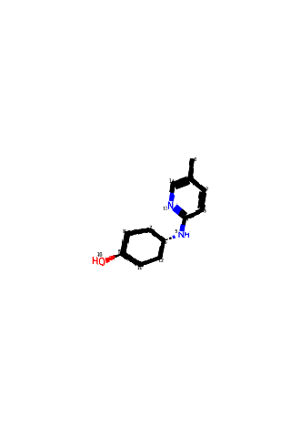 Cc1ccc(N[C@H]2CC[C@H](O)CC2)nc1